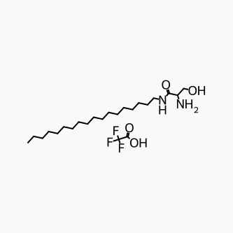 CCCCCCCCCCCCCCCCCCNC(=O)C(N)CO.O=C(O)C(F)(F)F